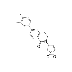 Cc1ccc(-c2ccc3c(c2)CCN(C2C=CS(=O)(=O)C2)C3=O)cc1C